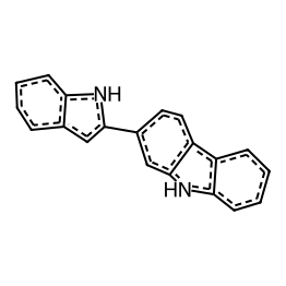 c1ccc2[nH]c(-c3ccc4c(c3)[nH]c3ccccc34)cc2c1